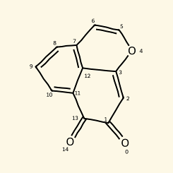 O=C1C=C2OC=Cc3cccc(c32)C1=O